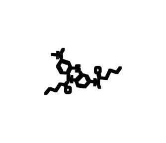 CCCCC(=O)N(C)c1ccc2c(c1)Sc1cc(N(C)C)ccc1N2C(=O)CCCC